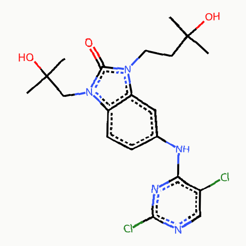 CC(C)(O)CCn1c(=O)n(CC(C)(C)O)c2ccc(Nc3nc(Cl)ncc3Cl)cc21